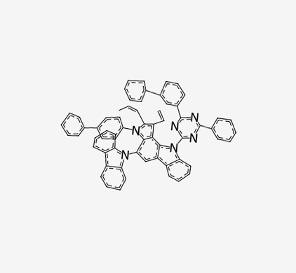 C=Cc1c(/C=C\C)n(-c2ccc(-c3ccccc3)cc2)c2c(-n3c4ccccc4c4ccccc43)cc3c4ccccc4n(-c4nc(-c5ccccc5)nc(-c5cccc(-c6ccccc6)c5)n4)c3c12